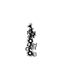 O=C(NC(=S)Nc1ccc(Oc2ncnc3c2ncn3CC2CC2)cc1)c1cccc(Cl)c1